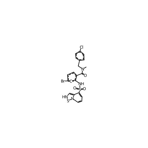 CN(Cc1ccc(Cl)cc1)C(=O)c1ccc(Br)cc1NS(=O)(=O)C1=CC=CN2SNC=C12